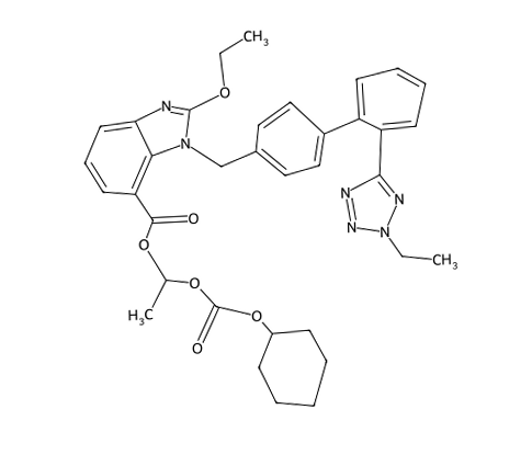 CCOc1nc2cccc(C(=O)OC(C)OC(=O)OC3CCCCC3)c2n1Cc1ccc(-c2ccccc2-c2nnn(CC)n2)cc1